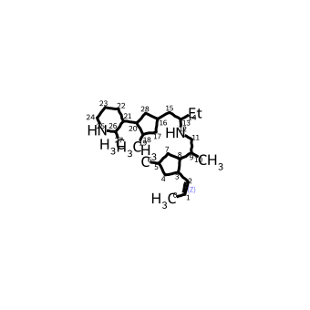 C/C=C\C1CC(C)CC1C(C)CNC(CC)CC1CC(C)C(C2CCCNC2C)C1